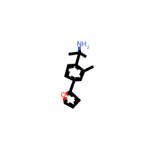 Cc1cc(-c2ccco2)ccc1C(C)(C)N